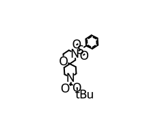 CC(C)(C)OC(=O)N1CCC2(CC1)CN(S(=O)(=O)c1ccccc1)CCO2